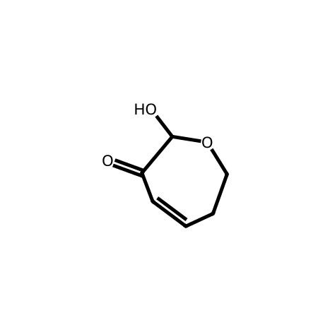 O=C1C=CCCOC1O